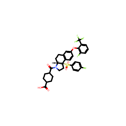 O=C(O)C1CCC(C(=O)N2CC[C@@]3(S(=O)(=O)c4ccc(F)cc4)c4ccc(Oc5c(F)cccc5C(F)(F)F)cc4CC[C@@H]23)CC1